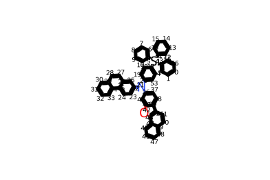 c1ccc([Si](c2ccccc2)(c2ccccc2)c2ccc(N(c3ccc4c(ccc5ccccc54)c3)c3ccc4c(c3)oc3c5ccccc5ccc43)cc2)cc1